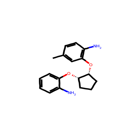 Cc1ccc(N)c(O[C@@H]2CCC[C@@H]2Oc2ccccc2N)c1